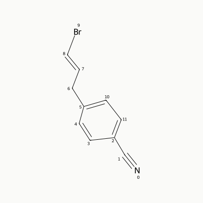 N#Cc1ccc(CC=CBr)cc1